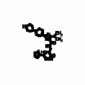 CC(C)c1nc(N2CCN(C3CCNCC3)CC2)sc1C(=O)NC[C@H](NC(=O)c1cccs1)C(=O)O